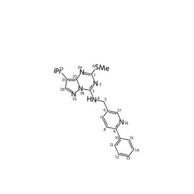 CSc1nc(NCc2ccc(-c3ccccc3)nc2)n2ncc(C(C)C)c2n1